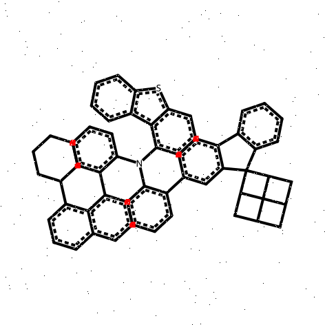 c1ccc(N(c2ccccc2-c2cccc3cccc(C4CCCCC4)c23)c2cccc3sc4ccccc4c23)c(-c2ccc3c(c2)C2(c4ccccc4-3)C3CC4CC5CC2C453)c1